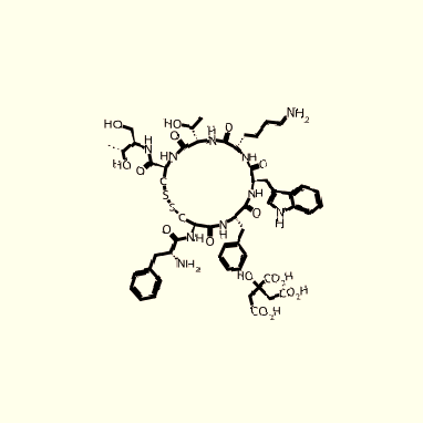 CC(O)[C@@H]1NC(=O)[C@H](CCCCN)NC(=O)[C@@H](Cc2c[nH]c3ccccc23)NC(=O)[C@H](Cc2ccccc2)NC(=O)[C@@H](NC(=O)[C@H](N)Cc2ccccc2)CSSC[C@@H](C(=O)N[C@H](CO)[C@@H](C)O)NC1=O.O=C(O)CC(O)(CC(=O)O)C(=O)O